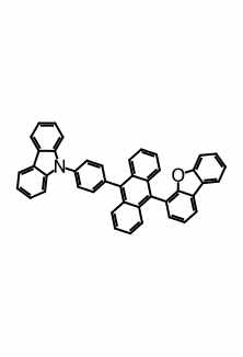 c1ccc2c(c1)oc1c(-c3c4ccccc4c(-c4ccc(-n5c6ccccc6c6ccccc65)cc4)c4ccccc34)cccc12